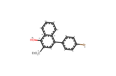 CCOC(=O)c1cc(-c2ccc(Br)cc2)c2ccccc2c1O